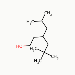 CC(C)CC(CCO)CC(C)(C)C